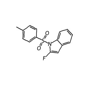 Cc1ccc(S(=O)(=O)n2c(F)cc3ccccc32)cc1